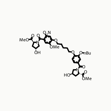 CCCCOc1cc(C(=O)N2C[C@H](O)C[C@H]2C(=O)OC)ccc1OCCCCCOc1cc([N+](=O)[O-])c(C(=O)N2C[C@H](O)C[C@H]2C(=O)OC)cc1OC